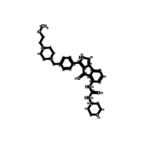 COCCN1CCN(Cc2ccc(-c3[nH]nc4c3C(=O)c3c(NC(=O)NN5CCOCC5)cccc3-4)cc2)CC1